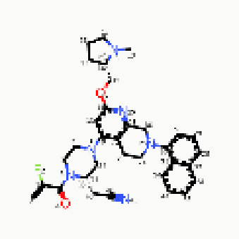 C=C(F)C(=O)N1CCN(c2cc(OC[C@@H]3CCCN3C)nc3c2CCN(c2cccc4ccccc24)C3)C[C@@H]1CC#N